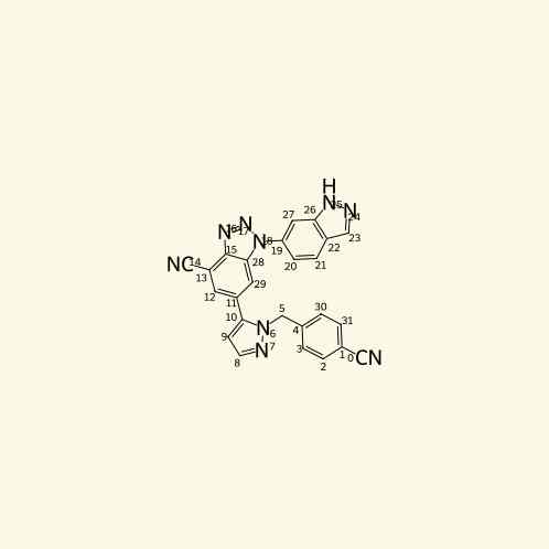 N#Cc1ccc(Cn2nccc2-c2cc(C#N)c3nnn(-c4ccc5cn[nH]c5c4)c3c2)cc1